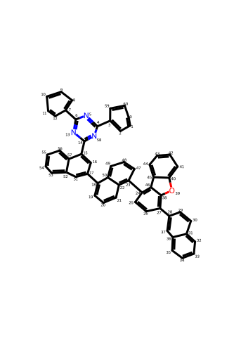 c1ccc(-c2nc(-c3ccccc3)nc(-c3cc(-c4cccc5c(-c6ccc(-c7ccc8ccccc8c7)c7oc8ccccc8c67)cccc45)cc4ccccc34)n2)cc1